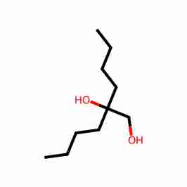 CCCCC(O)(CO)CCCC